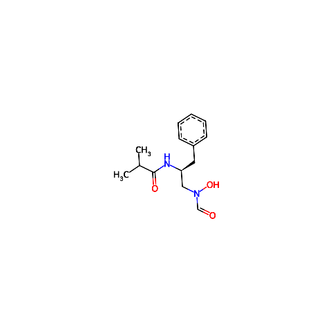 CC(C)C(=O)N[C@@H](Cc1ccccc1)CN(O)C=O